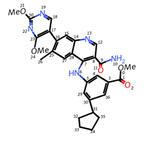 COC(=O)c1cc(Nc2c(C(N)=O)cnc3cc(-c4cnc(OC)nc4OC)c(C)cc23)cc(C2CCCC2)c1